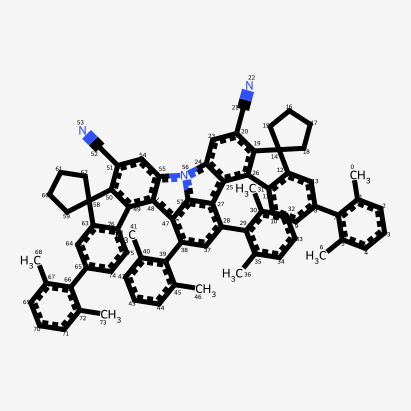 Cc1cccc(C)c1-c1ccc2c(c1)C1(CCCC1)c1c(C#N)cc3c(c1-2)c1c(-c2c(C)cccc2C)cc(-c2c(C)cccc2C)c2c4c5c(c(C#N)cc4n3c12)C1(CCCC1)c1cc(-c2c(C)cccc2C)ccc1-5